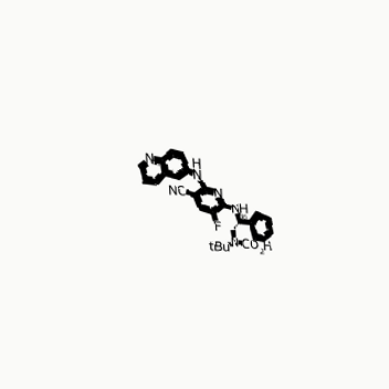 CC(C)(C)N(C[C@H](Nc1nc(Nc2ccc3ncccc3c2)c(C#N)cc1F)c1ccccc1)C(=O)O